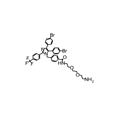 NCCOCCOCCNC(=O)c1ccc(Cn2c(-c3ccc(C(F)(F)F)cc3)nc(-c3ccc(Br)cc3)c2-c2ccc(Br)cc2)cc1